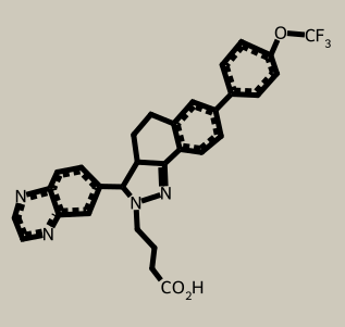 O=C(O)CCCN1N=C2c3ccc(-c4ccc(OC(F)(F)F)cc4)cc3CCC2C1c1ccc2nccnc2c1